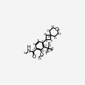 CNC(=O)c1ccc(C2CC3(CCOCC3)C2)c(C(F)(F)F)c1OC